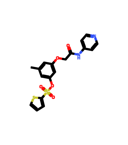 Cc1cc(OCC(=O)Nc2ccncc2)cc(OS(=O)(=O)c2cccs2)c1